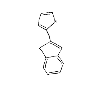 C1=C(c2cccs2)Cc2ccccc21